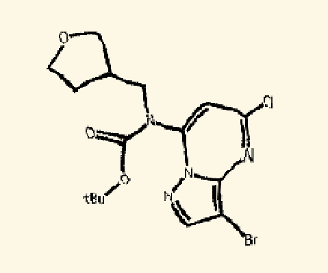 CC(C)(C)OC(=O)N(CC1CCOC1)c1cc(Cl)nc2c(Br)cnn12